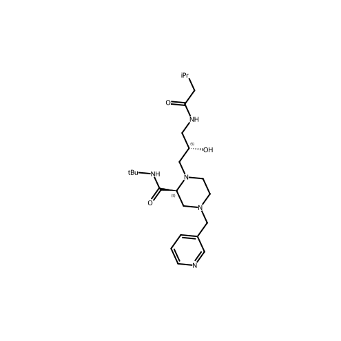 CC(C)CC(=O)NC[C@H](O)CN1CCN(Cc2cccnc2)C[C@H]1C(=O)NC(C)(C)C